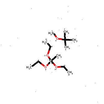 CC(C)(C)O[SiH3].CCO[Si](C)(OCC)OCC